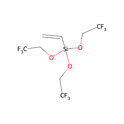 C=C[Si](OCC(F)(F)F)(OCC(F)(F)F)OCC(F)(F)F